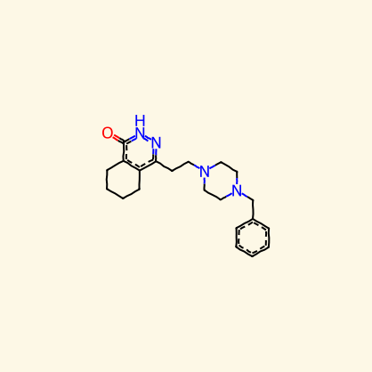 O=c1[nH]nc(CCN2CCN(Cc3ccccc3)CC2)c2c1CCCC2